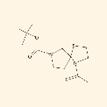 CC(=O)N1CCSC12CCN(C(=O)OC(C)(C)C)C2